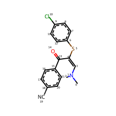 CN(C)/C=C(/Sc1ccc(Cl)cc1)C(=O)c1ccc(C#N)cc1